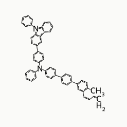 C=C/C=C\c1cc(-c2ccc(-c3ccc(N(c4ccccc4)c4ccc(-c5ccc6c(c5)c5ccccc5n6-c5ccccc5)cc4)cc3)cc2)ccc1C